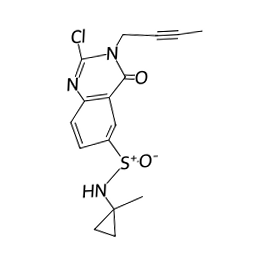 CC#CCn1c(Cl)nc2ccc([S+]([O-])NC3(C)CC3)cc2c1=O